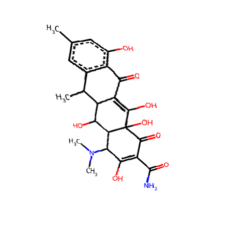 Cc1cc(O)c2c(c1)C(C)C1C(=C(O)C3(O)C(=O)C(C(N)=O)=C(O)C(N(C)C)C3C1O)C2=O